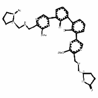 COc1nc(-c2cccc(-c3cccc(-c4cnc(CNC[C@H]5CCCN5C(C)=O)c(OC)n4)c3Cl)c2Cl)cnc1CNC[C@@H]1CCC(=O)N1